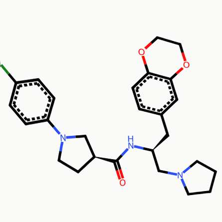 O=C(N[C@@H](Cc1ccc2c(c1)OCCO2)CN1CCCC1)[C@H]1CCN(c2ccc(Cl)cc2)C1